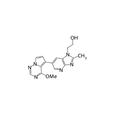 COc1ncnn2ccc(-c3cnc4nc(C)n(CCO)c4c3)c12